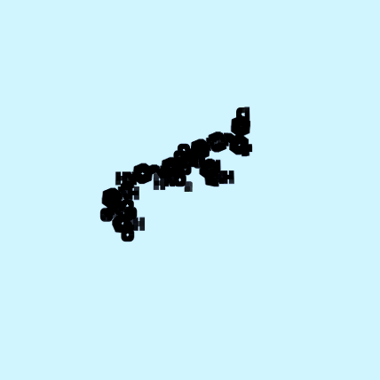 CC1(C)CCC(CN2CCN(c3ccc(C(=O)NS(=O)(=O)c4ccc(NCC5CCC(NCCNc6cccc7c6C(=O)N(C6CCC(=O)NC6=O)C7=O)CC5)c([N+](=O)[O-])c4)c(Oc4cnc5[nH]ccc5c4)c3)CC2)=C(c2ccc(Cl)cc2)C1